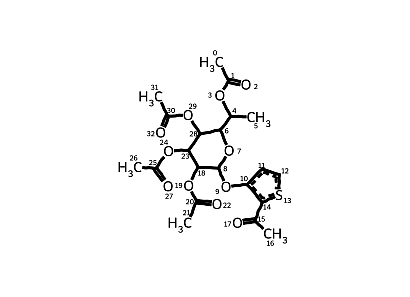 CC(=O)OC(C)C1OC(Oc2ccsc2C(C)=O)C(OC(C)=O)C(OC(C)=O)C1OC(C)=O